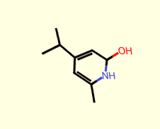 CC1=CC(C(C)C)=CC(O)N1